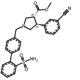 COC(=O)[C@H]1CN(Cc2ccc(-c3ccccc3S(N)(=O)=O)cc2)C[C@@H]1c1cccc(C#N)c1